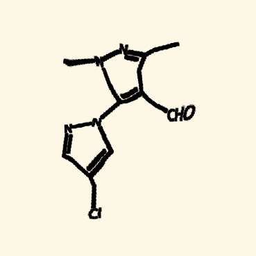 Cc1nn(C)c(-n2cc(Cl)cn2)c1C=O